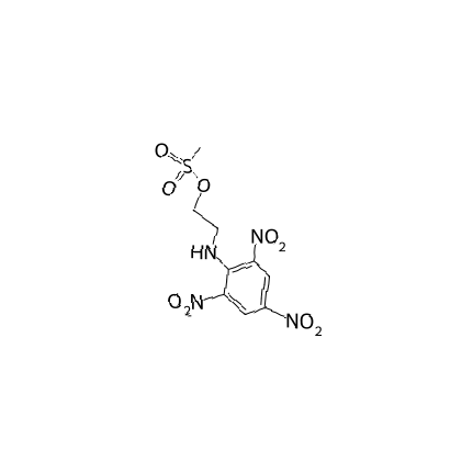 CS(=O)(=O)OCCNc1c([N+](=O)[O-])cc([N+](=O)[O-])cc1[N+](=O)[O-]